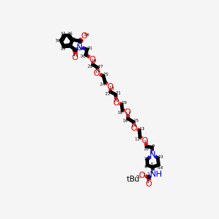 CC(C)(C)OC(=O)NC1CCN(CCOCCOCCOCCOCCOCCOCCOCCN2C(=O)c3ccccc3C2=O)CC1